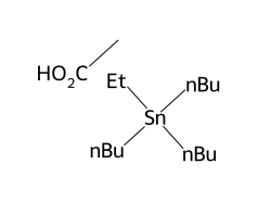 CC(=O)O.CCC[CH2][Sn]([CH2]C)([CH2]CCC)[CH2]CCC